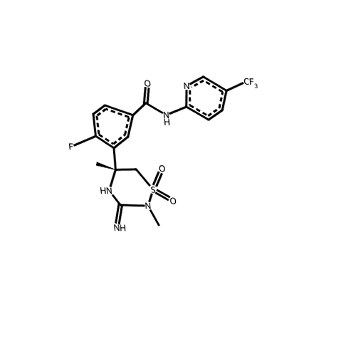 CN1C(=N)N[C@](C)(c2cc(C(=O)Nc3ccc(C(F)(F)F)cn3)ccc2F)CS1(=O)=O